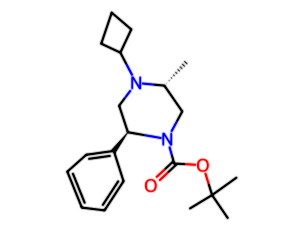 C[C@@H]1CN(C(=O)OC(C)(C)C)[C@@H](c2ccccc2)CN1C1CCC1